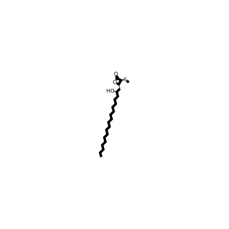 CCCCCCCCCCCCCCCCC[C@H](O)C[C@@H]1OC(=O)[C@H]1SC